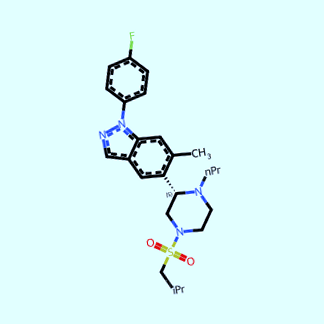 CCCN1CCN(S(=O)(=O)CC(C)C)C[C@@H]1c1cc2cnn(-c3ccc(F)cc3)c2cc1C